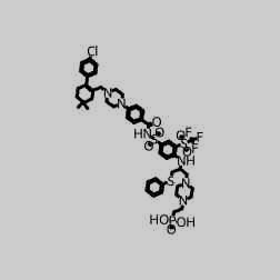 CC1(C)CCC(c2ccc(Cl)cc2)=C(CN2CCN(c3ccc(C(=O)NS(=O)(=O)c4ccc(NC(CSc5ccccc5)CN5CCN(CCP(=O)(O)O)CC5)c(S(=O)(=O)C(F)(F)F)c4)cc3)CC2)C1